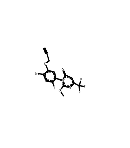 C#CCOc1cc(-n2c(OC)nc(C(F)(F)F)cc2=O)c(F)cc1Br